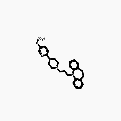 O=C(O)Oc1ccc(N2CCN(CCCN3c4ccccc4CCc4ccccc43)CC2)nc1